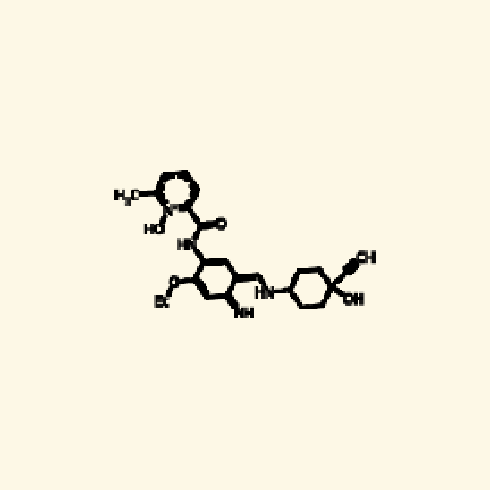 C#CC1(O)CCC(N/C=C2/C=C(NC(=O)c3cccc(C)[n+]3O)C(OCC)=CC2=N)CC1